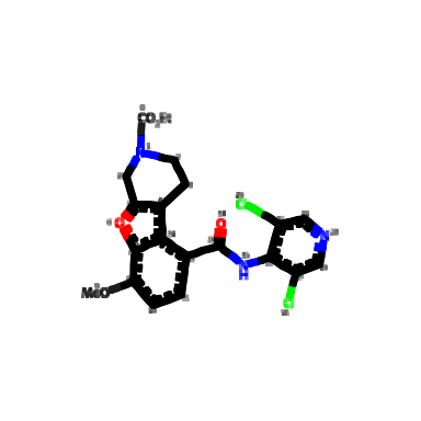 CCOC(=O)N1CCc2c(oc3c(OC)ccc(C(=O)Nc4c(Cl)cncc4Cl)c23)C1